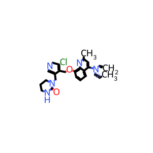 C=CN(/C=C\C)c1cc(C)nc2c(OCc3c(Cl)cncc3CN3CCCNC3=O)cccc12